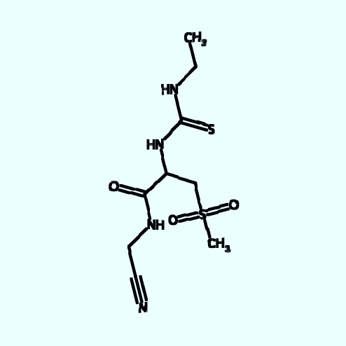 CCNC(=S)NC(CS(C)(=O)=O)C(=O)NCC#N